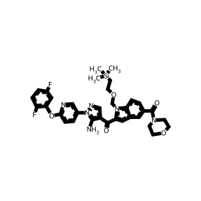 C[Si](C)(C)CCOCn1c(C(=O)c2cnn(-c3ccc(Oc4cc(F)ccc4F)nc3)c2N)cc2cc(C(=O)N3CCOCC3)ccc21